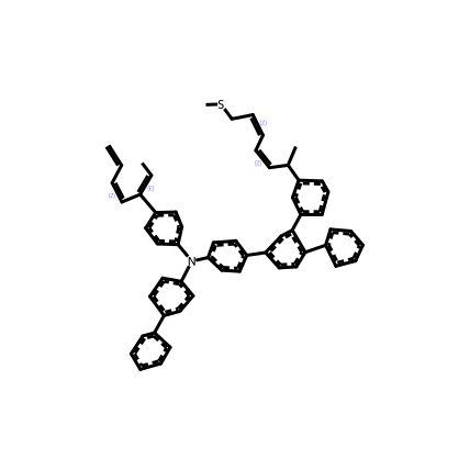 C=C/C=C\C(=C/C)c1ccc(N(c2ccc(-c3ccccc3)cc2)c2ccc(-c3ccc(-c4ccccc4)c(-c4cccc(C(C)/C=C\C=C/CSC)c4)c3)cc2)cc1